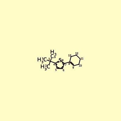 CC(C)(C)c1ccc(C2=CCCCC2)s1